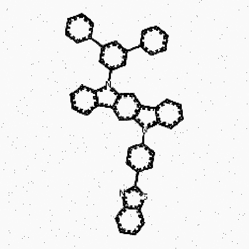 c1ccc(-c2cc(-c3ccccc3)cc(-n3c4ccccc4c4cc5c(cc43)c3ccccc3n5-c3ccc(-c4nc5ccccc5s4)cc3)c2)cc1